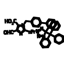 CCCc1nc(C=O)c(C(=O)O)n1Cc1ccc(-c2ccccc2C2(C(c3ccccc3)(c3ccccc3)c3ccccc3)N=NN=N2)cc1